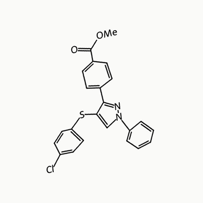 COC(=O)c1ccc(-c2nn(-c3ccccc3)cc2Sc2ccc(Cl)cc2)cc1